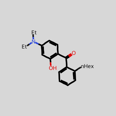 CCCCCCc1ccccc1C(=O)c1ccc(N(CC)CC)cc1O